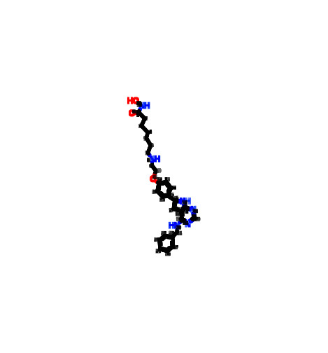 O=C(CCCCCCNCCOc1ccc(-c2cc3c(NCc4ccccc4)ncnc3[nH]2)cc1)NO